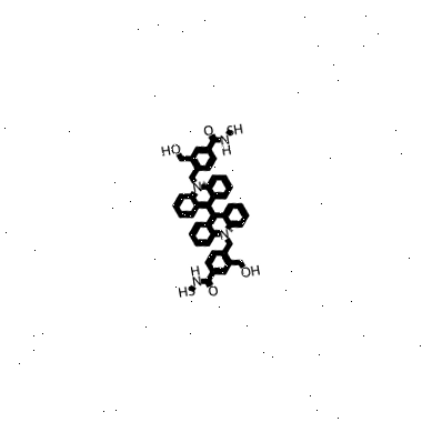 O=C(NS)c1ccc(C[n+]2c3ccccc3c(-c3c4ccccc4[n+](Cc4ccc(C(=O)NS)cc4CO)c4ccccc34)c3ccccc32)c(CO)c1